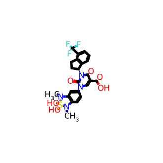 CN1c2ccc(-n3cc(C(=O)O)c(=O)n([C@@H]4CCc5c4cccc5C(F)(F)F)c3=O)cc2N(C)S1(O)O